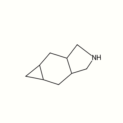 C1NCC2CC3CC3CC12